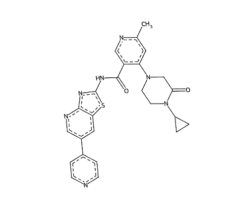 Cc1cc(N2CCN(C3CC3)C(=O)C2)c(C(=O)Nc2nc3ncc(-c4ccncc4)cc3s2)cn1